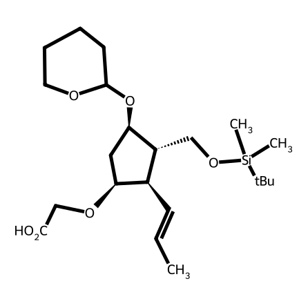 CC=C[C@@H]1[C@@H](CO[Si](C)(C)C(C)(C)C)[C@H](OC2CCCCO2)C[C@@H]1OCC(=O)O